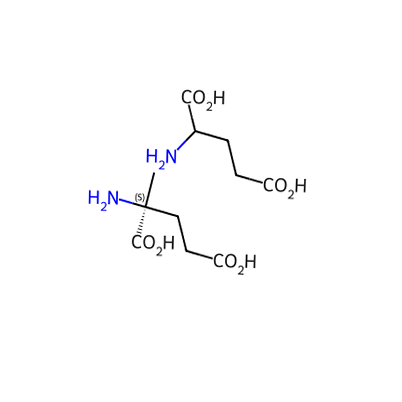 C[C@](N)(CCC(=O)O)C(=O)O.NC(CCC(=O)O)C(=O)O